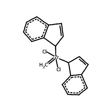 [CH2]=[Zr]([Cl])([Cl])([CH]1C=Cc2ccccc21)[CH]1C=Cc2ccccc21